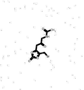 CC(=O)NCC(=O)Cc1oc(=O)oc1CBr